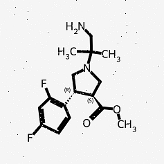 COC(=O)[C@@H]1CN(C(C)(C)CN)C[C@H]1c1ccc(F)cc1F